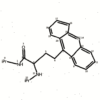 CC(C)NC(=O)C(CCc1c2ccccc2nc2ccccc12)NC(C)C